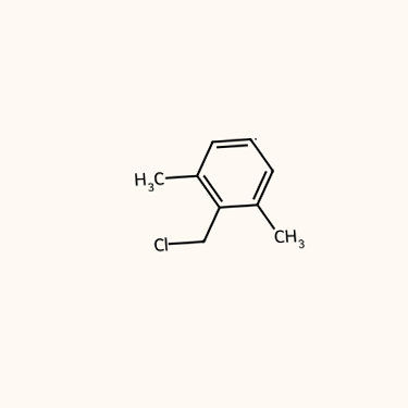 Cc1c[c]cc(C)c1CCl